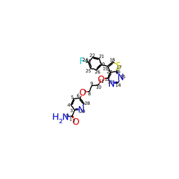 NC(=O)c1ccc(OCCCOc2ncnc3scc(-c4ccc(F)cc4)c23)cn1